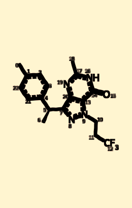 Cc1ccc([C@H](C)c2nn(CCC(F)(F)F)c3c(=O)[nH]c(C)nc23)cc1